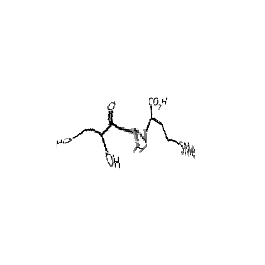 CSCCC(NC(=O)C(O)CO)C(=O)O